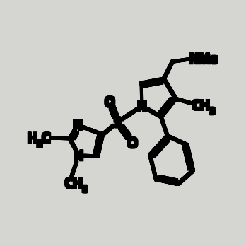 CNCc1cn(S(=O)(=O)c2cn(C)c(C)n2)c(-c2ccccc2)c1C